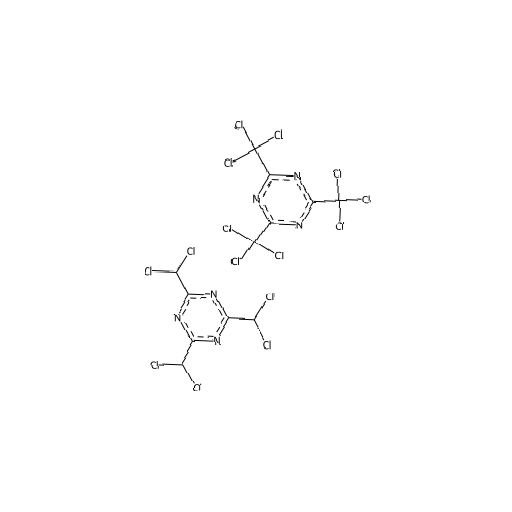 ClC(Cl)(Cl)c1nc(C(Cl)(Cl)Cl)nc(C(Cl)(Cl)Cl)n1.ClC(Cl)c1nc(C(Cl)Cl)nc(C(Cl)Cl)n1